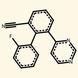 N#Cc1cccc(-c2ccncn2)c1-c1ccccc1F